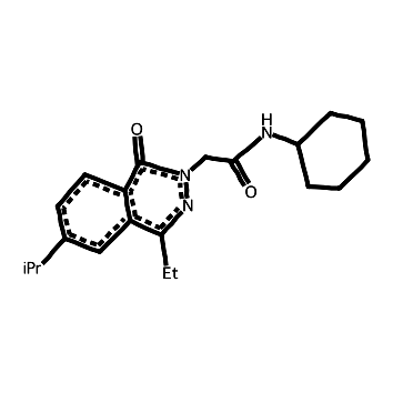 CCc1nn(CC(=O)NC2CCCCC2)c(=O)c2ccc(C(C)C)cc12